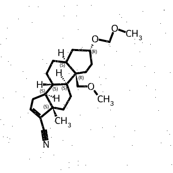 COCO[C@@H]1CC[C@@]2(COC)[C@@H](CC[C@@H]3[C@@H]2CC[C@]2(C)C(C#N)=CC[C@@H]32)C1